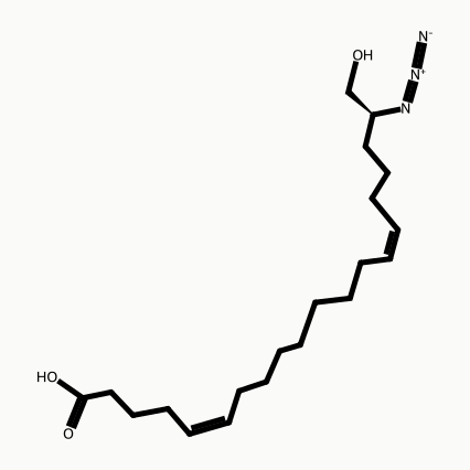 [N-]=[N+]=N[C@H](CO)CCC/C=C\CCCCCCC/C=C\CCCC(=O)O